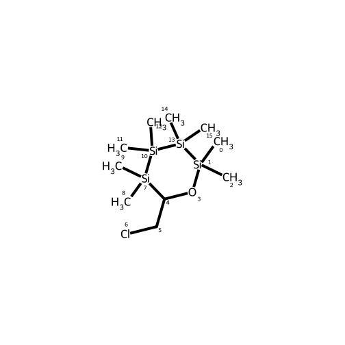 C[Si]1(C)OC(CCl)[Si](C)(C)[Si](C)(C)[Si]1(C)C